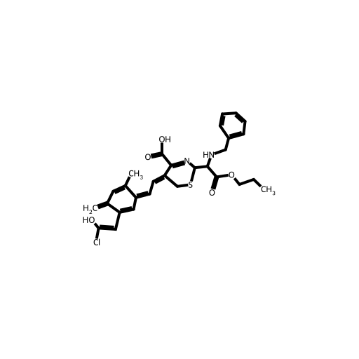 C=c1cc(C)/c(=C\C=C2/CSC(C(NCc3ccccc3)C(=O)OCCC)N=C2C(=O)O)cc1/C=C(\O)Cl